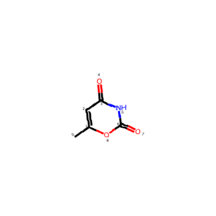 Cc1cc(=O)[nH]c(=O)o1